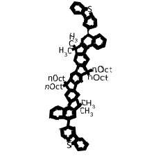 CCCCCCCCC1(CCCCCCCC)c2cc3c(cc2-c2cc4c(cc21)-c1cc2c(cc1C4(CCCCCCCC)CCCCCCCC)-c1c(cc(-c4ccc5sc6ccccc6c5c4)c4ccccc14)C2(C)C)C(C)(C)C1=C3c2ccccc2[C@H](c2ccc3sc4ccccc4c3c2)C1